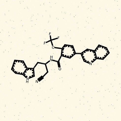 N#CCC(Cc1c[nH]c2ccccc12)NC(=O)c1cc(-c2cnc3ccccc3c2)ccc1OC(F)(F)F